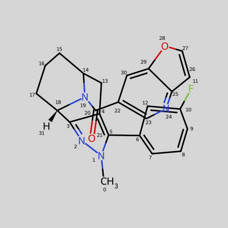 Cn1nc2c(c1-c1cccc(F)c1)CC1CCC[C@@H]2N1C(=O)c1cnc2ccoc2c1